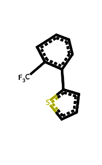 FC(F)(F)c1ccccc1-c1cccs1